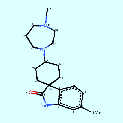 COc1ccc2c(c1)NC(=O)C21CCC(N2CCCN(C)CC2)CC1